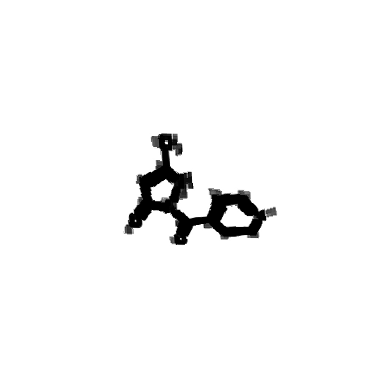 Cc1cc(=O)n(C(=O)c2ccncc2)[nH]1